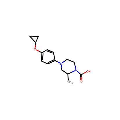 CC1CN(c2ccc(OC3CC3)cc2)CCN1C(=O)O